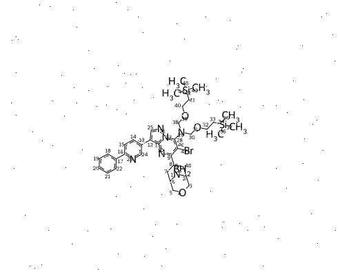 BN1C2COCC1CC(c1nc3c(-c4ccc(-c5ccccc5)nc4)cnn3c(N(COCC[Si](C)(C)C)COCC[Si](C)(C)C)c1Br)C2